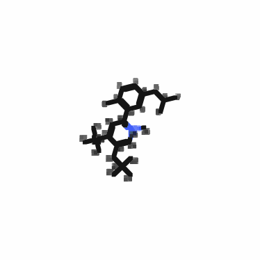 Cc1ccc(CC(C)C)cc1-c1cc([Si](C)(C)C)c(CC(C)(C)C)c[n+]1C